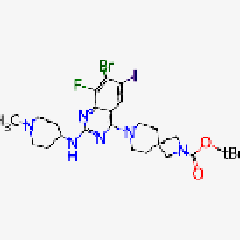 CN1CCC(Nc2nc(N3CCC4(CC3)CN(C(=O)OC(C)(C)C)C4)c3cc(I)c(Br)c(F)c3n2)CC1